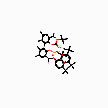 Cc1cc(C(C)C)c(OC(=O)OC(C)(C)C)c(-c2c(C)c(C)cc(C(C)C)c2OP(Oc2ccc(C(C)(C)C)cc2C(C)(C)C)Oc2ccc(C(C)(C)C)cc2C(C)(C)C)c1C